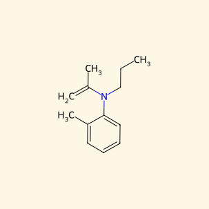 C=C(C)N(CCC)c1ccccc1C